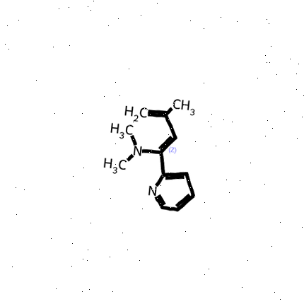 C=C(C)/C=C(/c1ccccn1)N(C)C